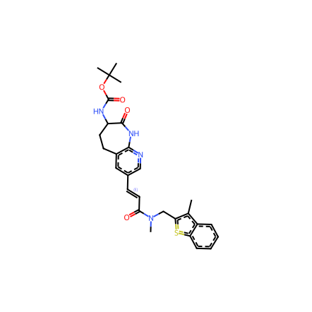 Cc1c(CN(C)C(=O)/C=C/c2cnc3c(c2)CCC(NC(=O)OC(C)(C)C)C(=O)N3)sc2ccccc12